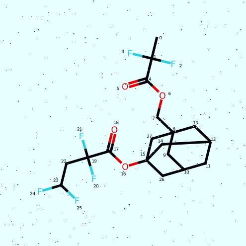 CC(F)(F)C(=O)OCC12CC3CC(C1)CC(OC(=O)C(F)(F)CC(F)F)(C3)C2